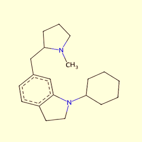 CN1CCCC1Cc1ccc2c(c1)N(C1CCCCC1)CC2